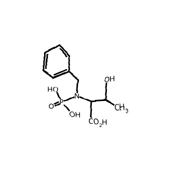 CC(O)C(C(=O)O)N(Cc1ccccc1)P(=O)(O)O